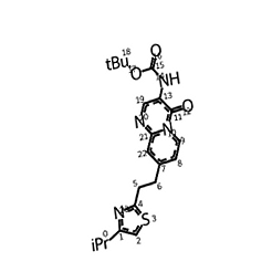 CC(C)c1csc(CCc2ccn3c(=O)c(NC(=O)OC(C)(C)C)cnc3c2)n1